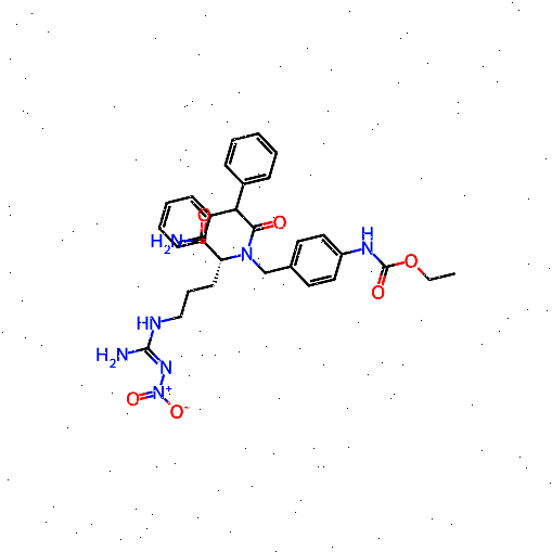 CCOC(=O)Nc1ccc(CN(C(=O)C(c2ccccc2)c2ccccc2)[C@H](CCCNC(N)=N[N+](=O)[O-])C(N)=O)cc1